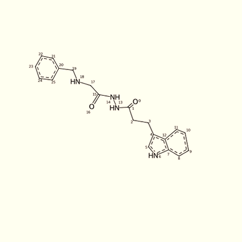 O=C(CCc1c[nH]c2ccccc12)NNC(=O)CNCc1ccccc1